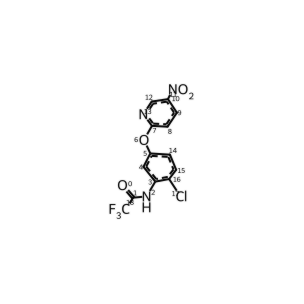 O=C(Nc1cc(Oc2ccc([N+](=O)[O-])cn2)ccc1Cl)C(F)(F)F